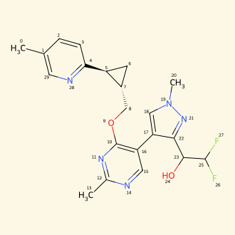 Cc1ccc([C@H]2C[C@@H]2COc2nc(C)ncc2-c2cn(C)nc2C(O)C(F)F)nc1